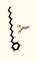 CCCCCCCCCCCCc1ccccc1.O=S=O.[NaH]